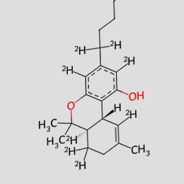 [2H]C1=C(C)CC([2H])([2H])[C@]2([2H])[C@@H]1c1c(O)c([2H])c(C([2H])([2H])CCCC)c([2H])c1OC2(C)C